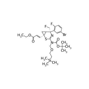 CCOC(=O)/C=C/[C@]12CC1[C@@](CF)(c1cc(Br)ccc1F)N=C(N(COCC[Si](C)(C)C)C(=O)OC(C)(C)C)S2